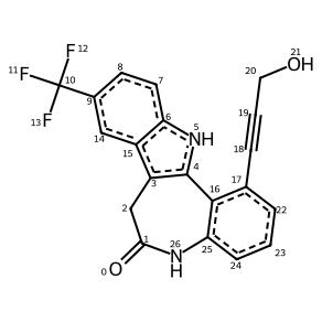 O=C1Cc2c([nH]c3ccc(C(F)(F)F)cc23)-c2c(C#CCO)cccc2N1